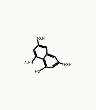 CC(=O)Nc1cc(S(=O)(=O)O)cc2cc(S(=O)(=O)O)[c]c(O)c12